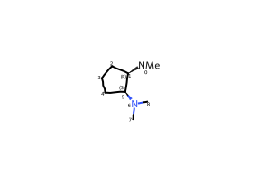 CN[C@@H]1CCC[C@@H]1N(C)C